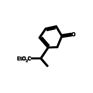 CCOC(=O)C(C)C1=CC=CC(=O)C1